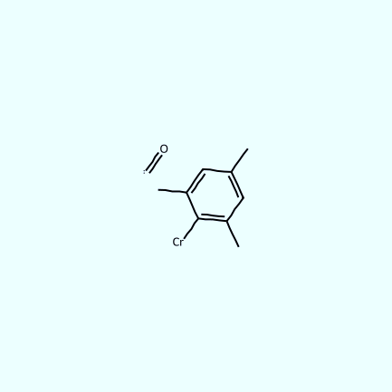 Cc1cc(C)[c]([Cr])c(C)c1.[C]=O